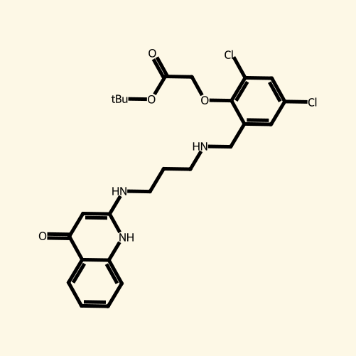 CC(C)(C)OC(=O)COc1c(Cl)cc(Cl)cc1CNCCCNc1cc(=O)c2ccccc2[nH]1